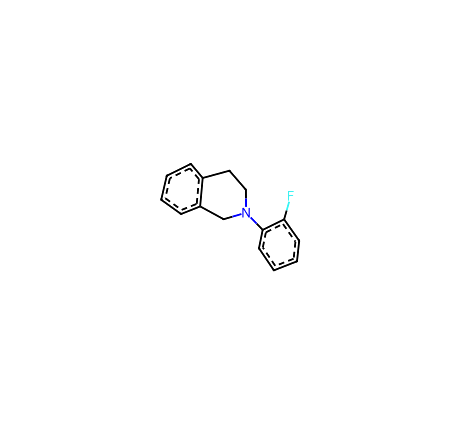 Fc1ccccc1N1CCc2ccccc2C1